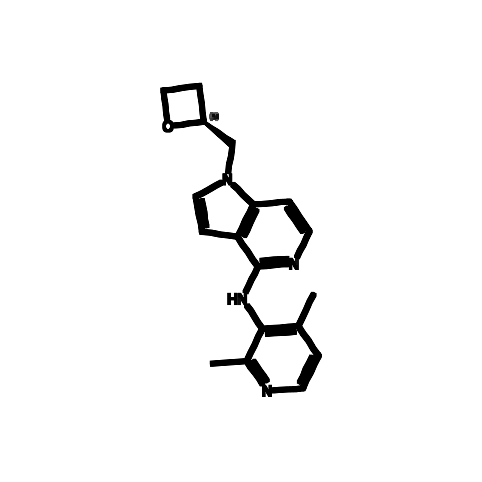 Cc1ccnc(C)c1Nc1nccc2c1ccn2C[C@@H]1CCO1